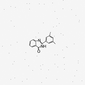 Cc1cc(C)cc(-c2nc3ccccc3c(=O)[nH]2)c1